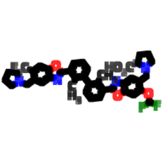 Cc1c(-c2nc3cc(CN4CCC[C@H]4C(=O)O)c(OC(F)F)cc3o2)cccc1-c1cccc(-c2nc3cc(CN4CCCC4)c(C(F)(F)F)cc3o2)c1C